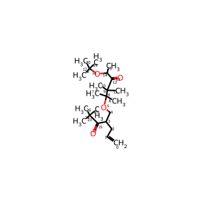 C=CCC(COC(C)(C)C(C)(C)C(=O)C(C)OC(C)(C)C)C(=O)C(C)(C)C